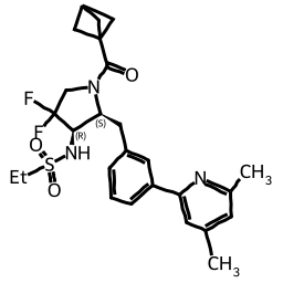 CCS(=O)(=O)N[C@@H]1[C@H](Cc2cccc(-c3cc(C)cc(C)n3)c2)N(C(=O)C23CC(C2)C3)CC1(F)F